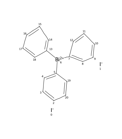 [I-].[I-].c1cc[c]([Bi+2]([c]2ccccc2)[c]2ccccc2)cc1